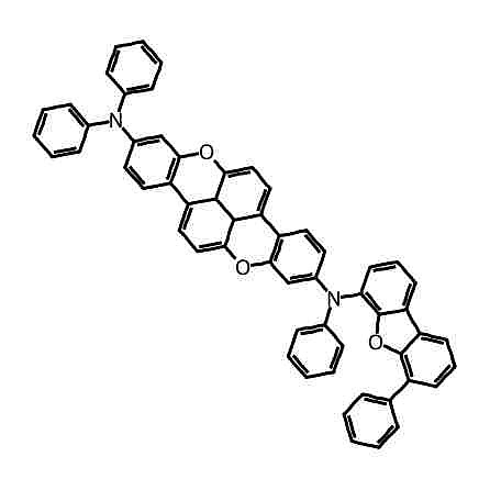 C1=C2Oc3cc(N(c4ccccc4)c4ccccc4)ccc3C3=CC=C4Oc5cc(N(c6ccccc6)c6cccc7c6oc6c(-c8ccccc8)cccc67)ccc5C(=C1)C4C23